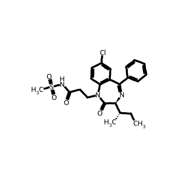 CC[C@H](C)[C@@H]1N=C(c2ccccc2)c2cc(Cl)ccc2N(CCC(=O)NS(C)(=O)=O)C1=O